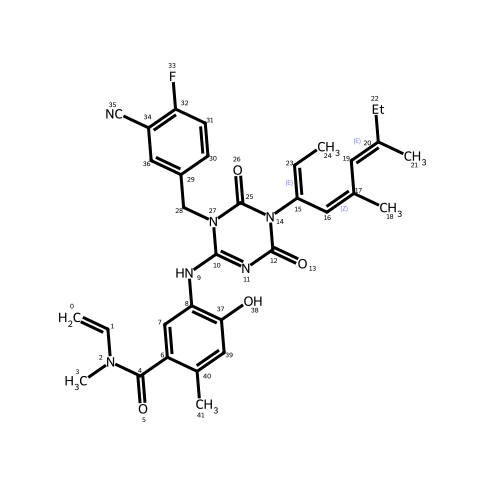 C=CN(C)C(=O)c1cc(Nc2nc(=O)n(C(/C=C(C)\C=C(/C)CC)=C/C)c(=O)n2Cc2ccc(F)c(C#N)c2)c(O)cc1C